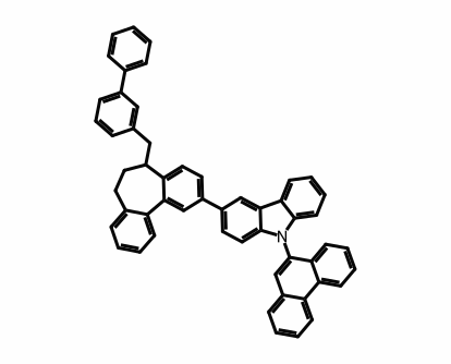 c1ccc(-c2cccc(CC3CCc4ccccc4-c4cc(-c5ccc6c(c5)c5ccccc5n6-c5cc6ccccc6c6ccccc56)ccc43)c2)cc1